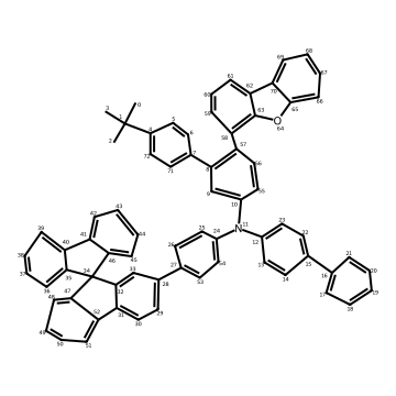 CC(C)(C)c1ccc(-c2cc(N(c3ccc(-c4ccccc4)cc3)c3ccc(-c4ccc5c(c4)C4(c6ccccc6-c6ccccc64)c4ccccc4-5)cc3)ccc2-c2cccc3c2oc2ccccc23)cc1